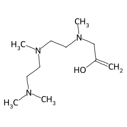 C=C(O)CN(C)CCN(C)CCN(C)C